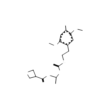 COc1cc(CCNC(=O)OC(C)OC(=O)C2COC2)c(OC)cc1Br